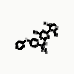 CCc1nc(N[C@@H](C)c2ccc(Oc3ccccc3)cc2)nc(N2C(=O)OC[C@@H]2CC)n1